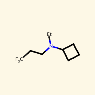 CCN(CCC(F)(F)F)C1CCC1